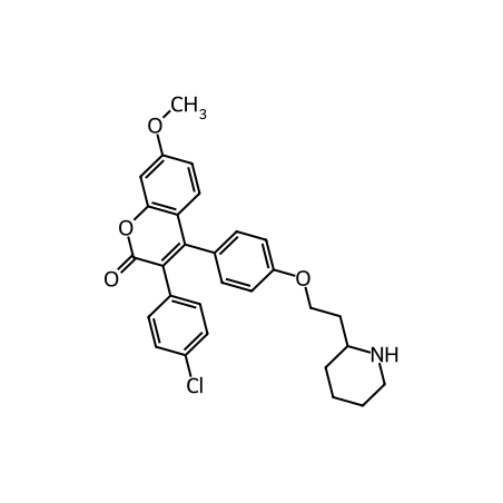 COc1ccc2c(-c3ccc(OCCC4CCCCN4)cc3)c(-c3ccc(Cl)cc3)c(=O)oc2c1